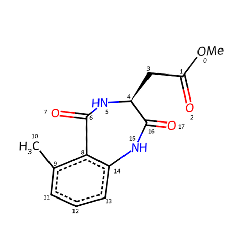 COC(=O)C[C@@H]1NC(=O)c2c(C)cccc2NC1=O